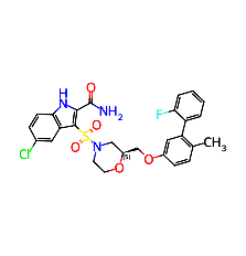 Cc1ccc(OC[C@@H]2CN(S(=O)(=O)c3c(C(N)=O)[nH]c4ccc(Cl)cc34)CCO2)cc1-c1ccccc1F